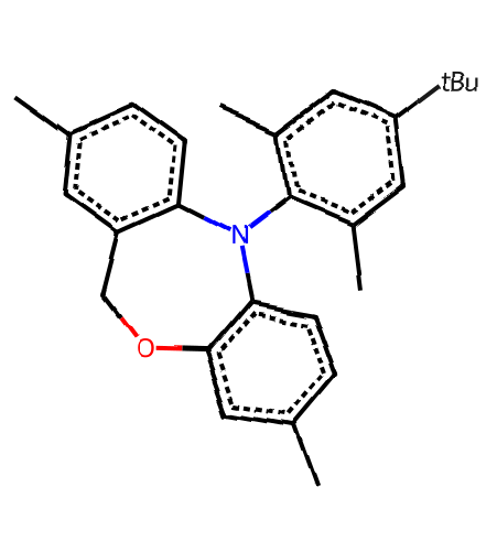 Cc1ccc2c(c1)COc1cc(C)ccc1N2c1c(C)cc(C(C)(C)C)cc1C